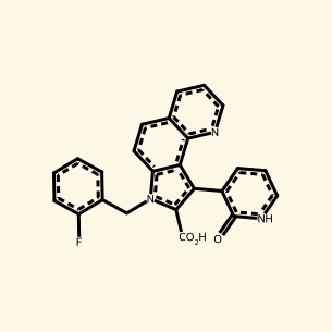 O=C(O)c1c(-c2ccc[nH]c2=O)c2c3ncccc3ccc2n1Cc1ccccc1F